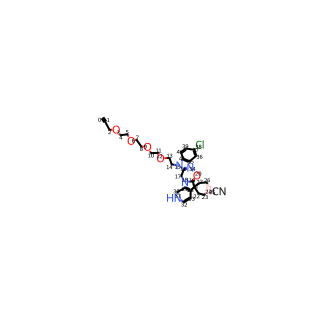 C#CCOCCOCCOCCOCCn1c(CN2C(=O)C3(CCB(C#N)CC3)C3=C2CNC=C3)nc2cc(Cl)ccc21